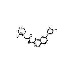 C[C@H]1COCCN1CC(=O)Nc1ncc2ccc(-c3cnn(C)c3)cc2n1